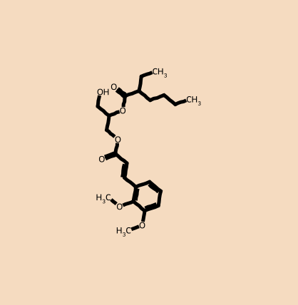 CCCCC(CC)C(=O)OC(CO)COC(=O)/C=C/c1cccc(OC)c1OC